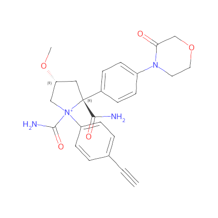 C#Cc1ccc([N+]2(C(N)=O)C[C@H](OC)C[C@]2(C(N)=O)c2ccc(N3CCOCC3=O)cc2)cc1